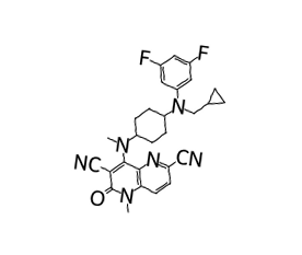 CN(c1c(C#N)c(=O)n(C)c2ccc(C#N)nc12)C1CCC(N(CC2CC2)c2cc(F)cc(F)c2)CC1